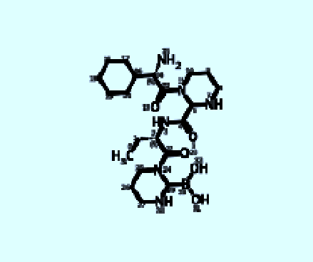 CC[C@H](NC(=O)C1NCCCN1C(=O)[C@@H](N)C1CCCCC1)C(=O)N1CCCNC1B(O)O